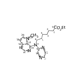 CCOC(=O)CCCCCCN(c1cnccn1)c1ncnc2ccn(C)c12